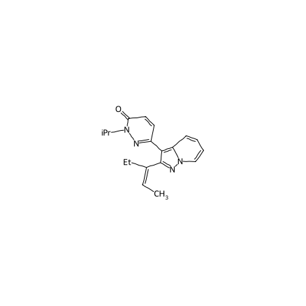 C/C=C(/CC)c1nn2ccccc2c1-c1ccc(=O)n(C(C)C)n1